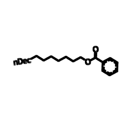 CCCCCCCCCCCCCCCCCOC(=O)c1ccccc1